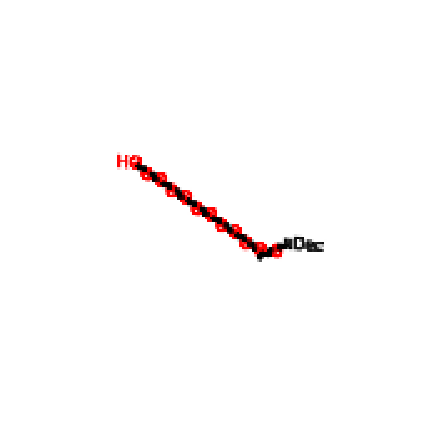 CCCCCCCCCCCCOCCC(C)OCCOCCOCCOCCOCCOCCOCCOCCOCCOCCO